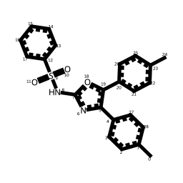 Cc1ccc(-c2nc(NS(=O)(=O)c3ccccc3)oc2-c2ccc(C)cc2)cc1